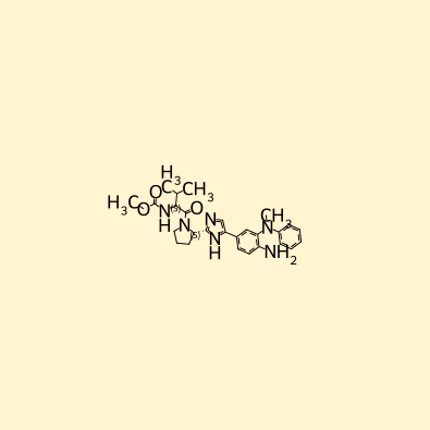 COC(=O)N[C@H](C(=O)N1CCC[C@H]1c1ncc(-c2ccc(N)c(N(C)c3ccccc3)c2)[nH]1)C(C)C